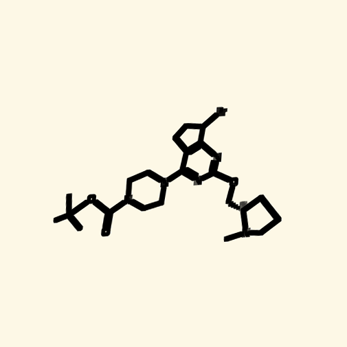 CN1CCC[C@H]1COc1nc2c(c(N3CCN(C(=O)OC(C)(C)C)CC3)n1)CCC2Br